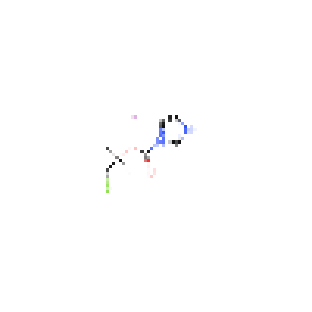 C[n+]1ccn(C(=O)OC(C)(C)CF)c1.[I-]